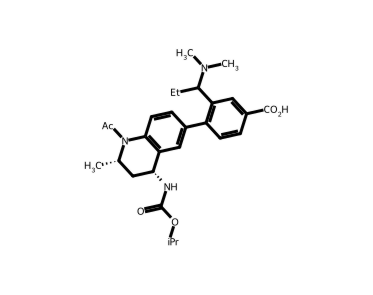 CCC(c1cc(C(=O)O)ccc1-c1ccc2c(c1)[C@H](NC(=O)OC(C)C)C[C@H](C)N2C(C)=O)N(C)C